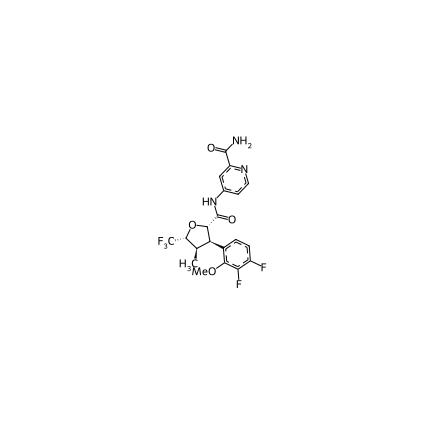 COc1c([C@H]2[C@@H](C)[C@H](C(F)(F)F)O[C@@H]2C(=O)Nc2ccnc(C(N)=O)c2)ccc(F)c1F